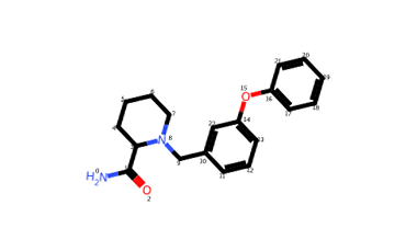 NC(=O)C1C[CH]CCN1Cc1cccc(Oc2ccccc2)c1